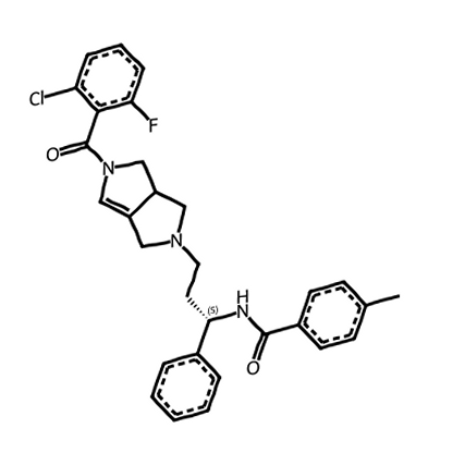 Cc1ccc(C(=O)N[C@@H](CCN2CC3=CN(C(=O)c4c(F)cccc4Cl)CC3C2)c2ccccc2)cc1